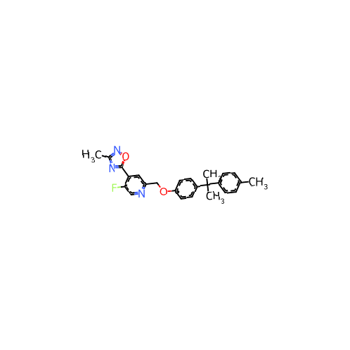 Cc1ccc(C(C)(C)c2ccc(OCc3cc(-c4nc(C)no4)c(F)cn3)cc2)cc1